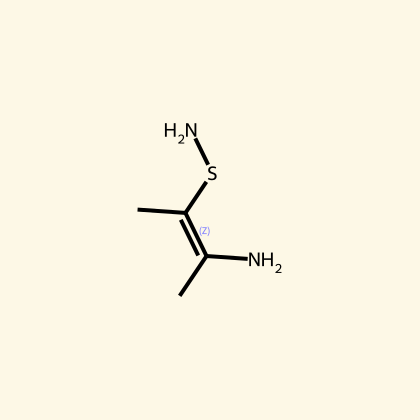 C/C(N)=C(\C)SN